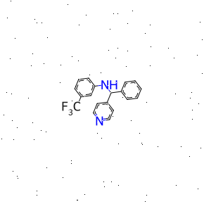 FC(F)(F)c1cccc(NC(c2ccccc2)c2ccncc2)c1